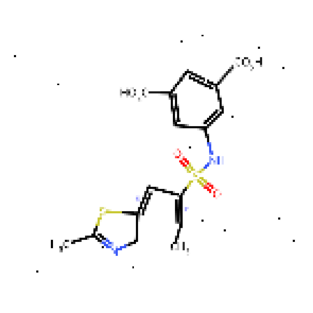 C/C=C(\C=C1/CN=C(C)S1)S(=O)(=O)Nc1cc(C(=O)O)cc(C(=O)O)c1